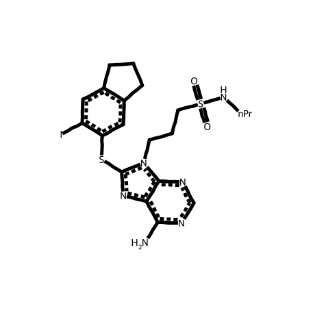 CCCNS(=O)(=O)CCCn1c(Sc2cc3c(cc2I)CCC3)nc2c(N)ncnc21